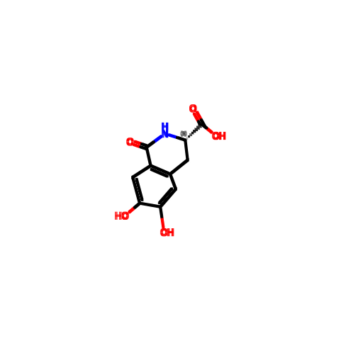 O=C1N[C@H](C(=O)O)Cc2cc(O)c(O)cc21